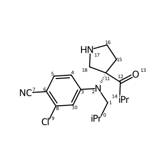 CC(C)CN(c1ccc(C#N)c(Cl)c1)[C@@]1(C(=O)C(C)C)CCNC1